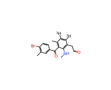 [2H]c1c([2H])c(CC=O)c(NC)c(C(=O)c2ccc(Br)c(C)c2)c1C